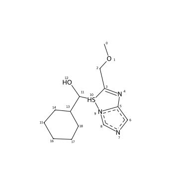 COCC1=Nc2cncn2[SH]1C(O)C1CCCCC1